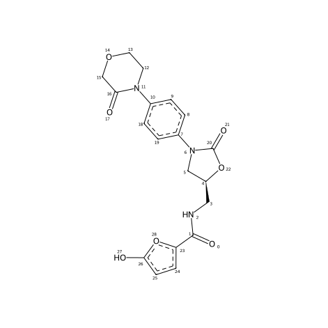 O=C(NC[C@H]1CN(c2ccc(N3CCOCC3=O)cc2)C(=O)O1)c1ccc(O)o1